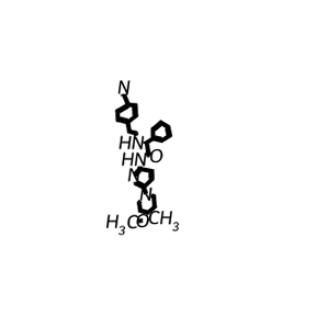 COC1(C)CCN(c2ccc(NC(=O)[C@@H](NCCc3ccc(C#N)cc3)c3ccccc3)nc2)CC1